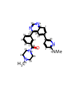 CNc1ccc(-c2ccc3ncnc(-c4cccc(C(=O)N5CCN(C)CC5)c4)c3c2)cn1